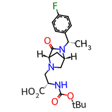 C[C@@H](c1ccc(F)cc1)N1C(=O)[C@@H]2C[C@H]1CN2C[C@H](NC(=O)OC(C)(C)C)C(=O)O